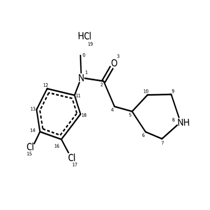 CN(C(=O)CC1CCNCC1)c1ccc(Cl)c(Cl)c1.Cl